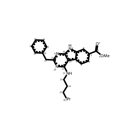 COC(=O)c1ccc2c(c1)[nH]c1nc(Cc3ccccc3)nc(NCCCC(C)C)c12